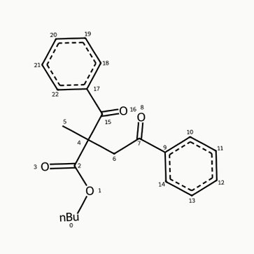 CCCCOC(=O)C(C)(CC(=O)c1ccccc1)C(=O)c1ccccc1